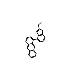 CCC1=Cc2c(cccc2-c2cccc3cc4ccccc4cc23)[CH]1